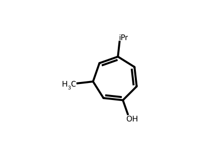 CC1C=C(O)C=CC(C(C)C)=C1